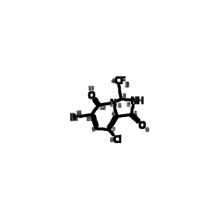 O=C1NC(C(F)(F)F)n2c1c(Cl)cc(Br)c2=O